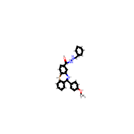 COc1ccc(C2=Nc3cc(C(=O)NNCc4ccccc4)ccc3Sc3ccccc32)cc1